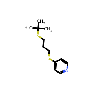 CC(C)(C)SCCCSc1ccncc1